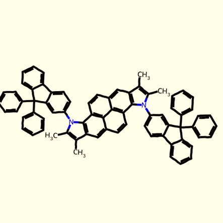 Cc1c(C)n(-c2ccc3c(c2)C(c2ccccc2)(c2ccccc2)c2ccccc2-3)c2c1cc1ccc3c4c(ccc2c14)cc1c(C)c(C)n(-c2ccc4c(c2)C(c2ccccc2)(c2ccccc2)c2ccccc2-4)c13